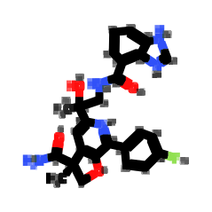 C[C@]1(C(N)=O)COc2c1cc(C(O)(CNC(=O)c1cccc3[nH]cnc13)C(F)(F)F)nc2-c1ccc(F)cc1